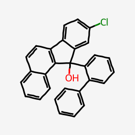 OC1(c2ccccc2-c2ccccc2)c2cc(Cl)ccc2-c2ccc3ccccc3c21